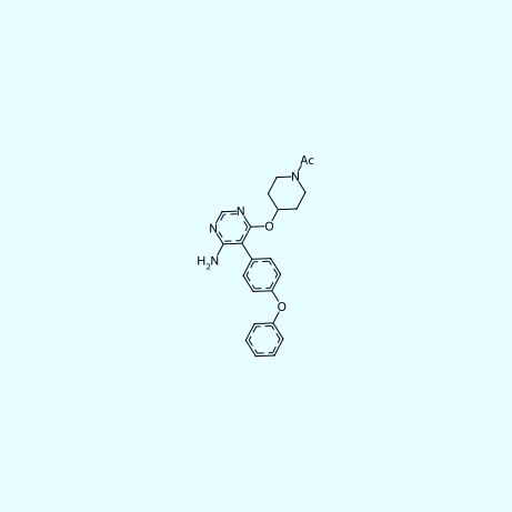 CC(=O)N1CCC(Oc2ncnc(N)c2-c2ccc(Oc3ccccc3)cc2)CC1